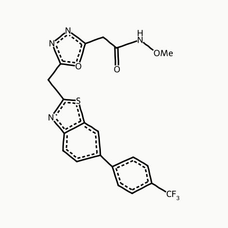 CONC(=O)Cc1nnc(Cc2nc3ccc(-c4ccc(C(F)(F)F)cc4)cc3s2)o1